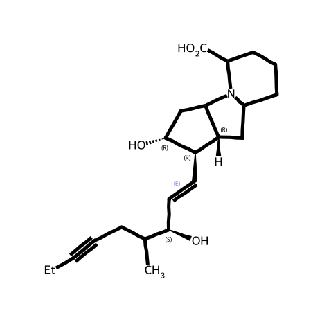 CCC#CCC(C)[C@H](O)/C=C/[C@H]1[C@H](O)CC2[C@@H]1CC1CCCC(C(=O)O)N12